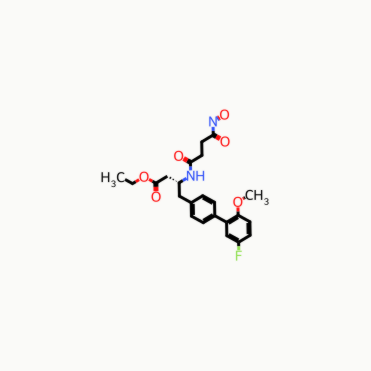 CCOC(=O)C[C@@H](Cc1ccc(-c2cc(F)ccc2OC)cc1)NC(=O)CCC(=O)N=O